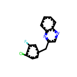 Fc1cc(Cc2cnc3ccccc3n2)ccc1Cl